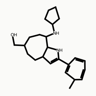 CC1C=CC=CC(C2=CC3CCC(CO)CCC(NC4CCCC4)C3N2)=C1